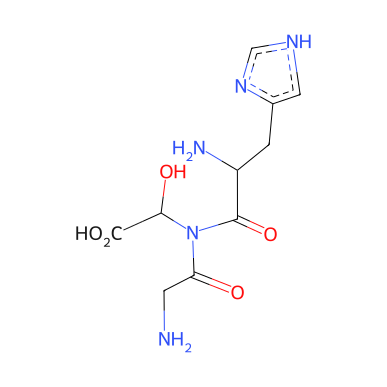 NCC(=O)N(C(=O)C(N)Cc1c[nH]cn1)C(O)C(=O)O